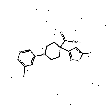 COC(=O)C1(c2cc(C)on2)CCN(c2cnnc(Cl)c2)CC1